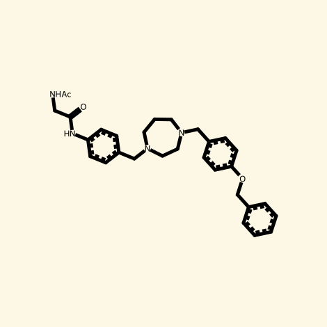 CC(=O)NCC(=O)Nc1ccc(CN2CCCN(Cc3ccc(OCc4ccccc4)cc3)CC2)cc1